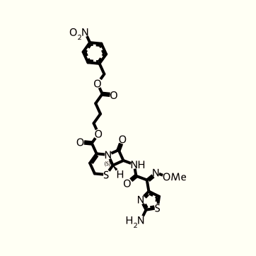 CON=C(C(=O)NC1C(=O)N2C(C(=O)OCCCC(=O)OCc3ccc([N+](=O)[O-])cc3)=CCS[C@@H]12)c1csc(N)n1